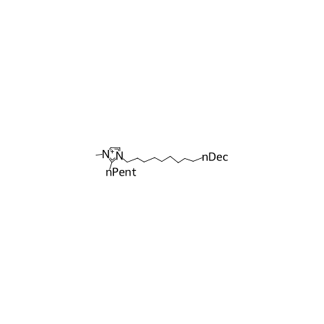 CCCCCCCCCCCCCCCCCCCn1cc[n+](C)c1CCCCC